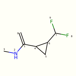 C=C(NC)C1CC1C(F)F